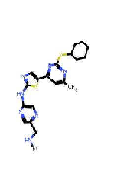 CCNCc1cnc(Nc2ncc(-c3cc(C)nc(SC4CCCCC4)n3)s2)cn1